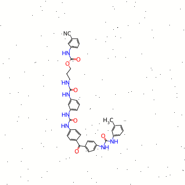 Cc1cccc(NC(=O)Nc2ccc(C(=O)c3ccc(NC(=O)Nc4cccc(NC(=O)NCCCOC(=O)Nc5cccc(C#N)c5)c4)cc3)cc2)c1